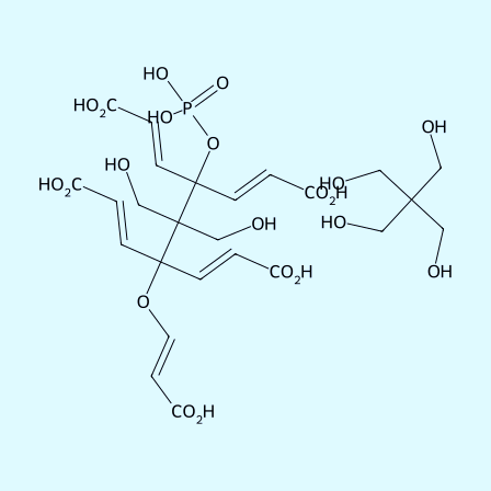 O=C(O)C=COC(C=CC(=O)O)(C=CC(=O)O)C(CO)(CO)C(C=CC(=O)O)(C=CC(=O)O)OP(=O)(O)O.OCC(CO)(CO)CO